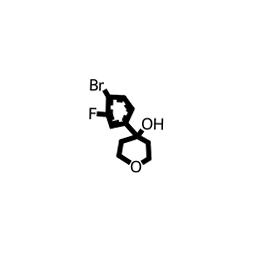 OC1(c2ccc(Br)c(F)c2)CCOCC1